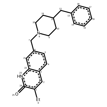 CCc1cc2ccc(CN3CCC(Cc4ccccc4)CC3)cc2[nH]c1=O